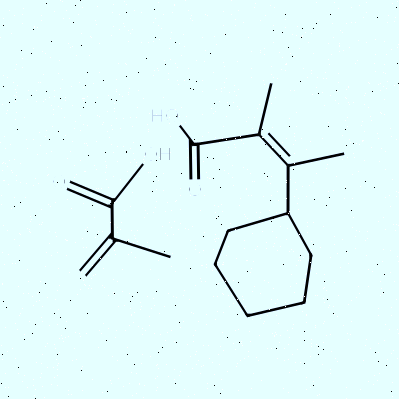 C=C(C)C(=O)O.CC(C(=O)O)=C(C)C1CCCCC1